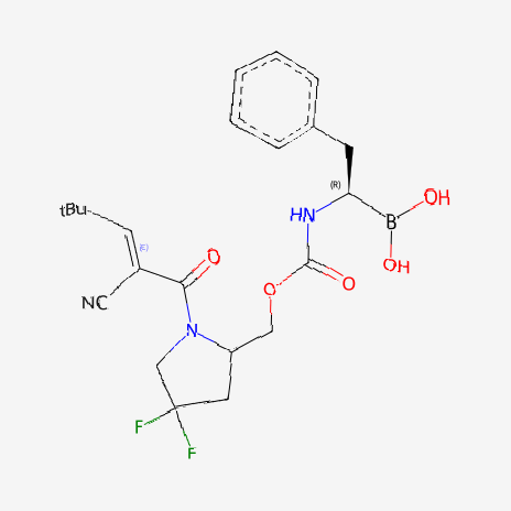 CC(C)(C)/C=C(\C#N)C(=O)N1CC(F)(F)CC1COC(=O)N[C@@H](Cc1ccccc1)B(O)O